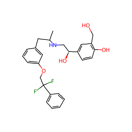 CC(Cc1cccc(OCC(F)(F)c2ccccc2)c1)NC[C@H](O)c1ccc(O)c(CO)c1